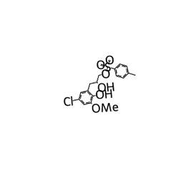 COc1cc(Cl)cc(CC(O)COS(=O)(=O)c2ccc(C)cc2)c1O